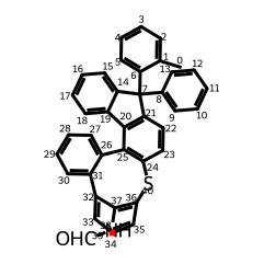 Cc1ccccc1C1(c2ccccc2)c2ccccc2-c2c1ccc1c2-c2ccccc2-c2cccc(c2NC=O)S1